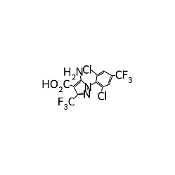 Nc1c(C(=O)O)c(C(F)(F)F)nn1-c1c(Cl)cc(C(F)(F)F)cc1Cl